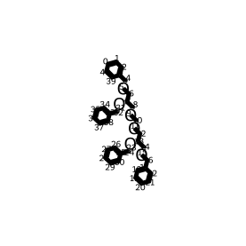 c1ccc(COCC(COCOCC(COCc2ccccc2)OCc2ccccc2)OCc2ccccc2)cc1